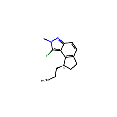 CC(=O)NCC[C@@H]1CCc2ccc3nn(C)c(F)c3c21